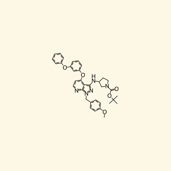 COc1ccc(Cn2nc(NC3CCN(C(=O)OC(C)(C)C)C3)c3c(Oc4cccc(Oc5ccccc5)c4)ccnc32)cc1